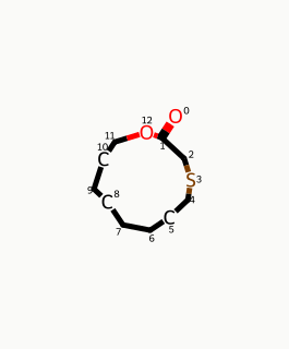 O=C1CSCCCCCCCCO1